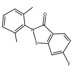 Cc1cccc(C)c1-n1sc2cc(F)ccc2c1=O